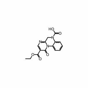 CCOC(=O)c1cnc2n(c1=O)-c1ccccc1N(C(=O)O)C2